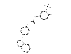 O=C(Nc1ccc(Cl)c(C(F)(F)F)c1)N(O)c1ccc(-n2cnc3ncccc32)cc1